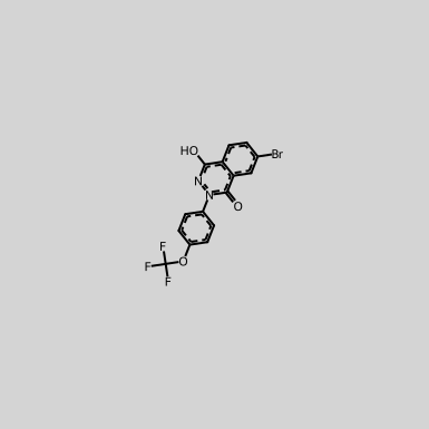 O=c1c2cc(Br)ccc2c(O)nn1-c1ccc(OC(F)(F)F)cc1